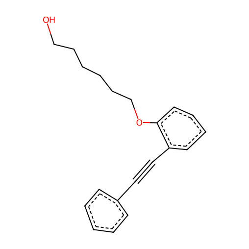 OCCCCCCOc1ccccc1C#Cc1ccccc1